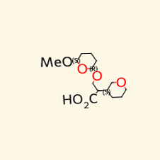 CO[C@@H]1CCC[C@H](OCC(C(=O)O)[C@@H]2CCCOC2)O1